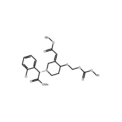 COC(=O)[C@H](c1ccccc1Cl)N1CCC(SCOC(=O)OC(C)C)/C(=C/C(=O)OC(C)(C)C)C1